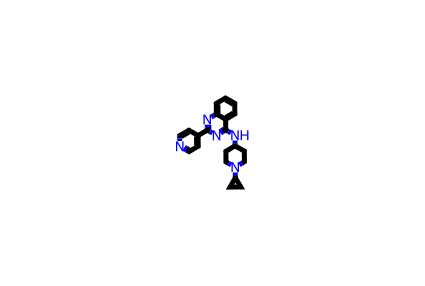 c1ccc2c(NC3CCN(C4CC4)CC3)nc(-c3ccncc3)nc2c1